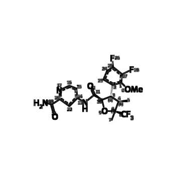 COc1c([C@@H]2[C@@H](C)[C@@](C)(C(F)(F)F)O[C@H]2C(=O)Nc2ccnc(C(N)=O)c2)ccc(F)c1F